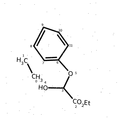 CC.CCOC(=O)C(O)Oc1ccccc1